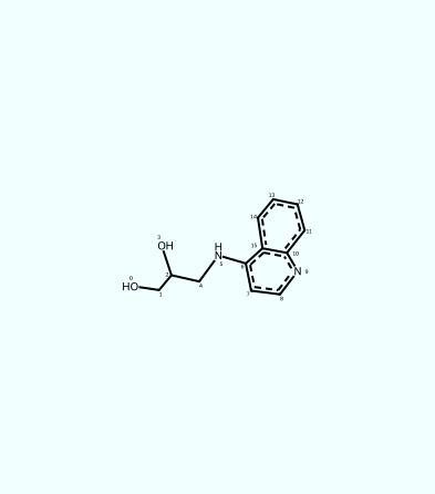 OCC(O)CNc1ccnc2ccccc12